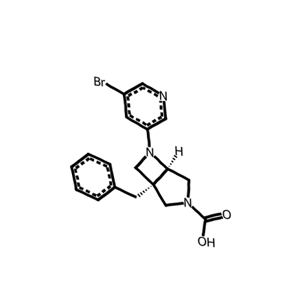 O=C(O)N1C[C@@H]2N(c3cncc(Br)c3)C[C@]2(Cc2ccccc2)C1